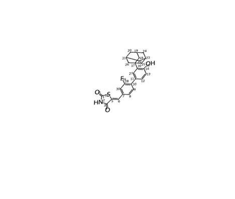 O=C1NC(=O)C(=Cc2ccc(-c3ccc(O)c(C45CC6CC(CC(C6)C4)C5)c3)c(F)c2)S1